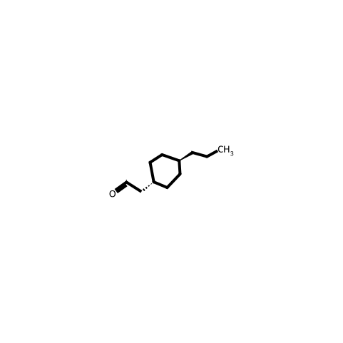 CCC[C@H]1CC[C@H](C[C]=O)CC1